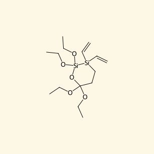 C=C[Si]1(C=C)CCC(OCC)(OCC)O[Si]1(OCC)OCC